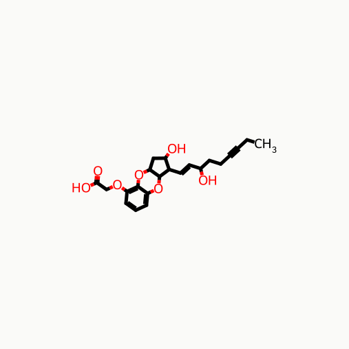 CCC#CCCC(O)/C=C/C1C(O)CC2Oc3c(OCC(=O)O)cccc3OC21